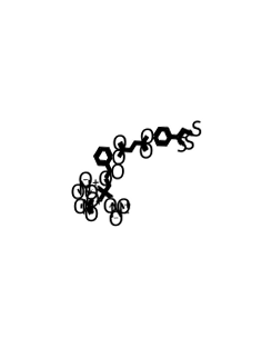 O=C(CCC(=O)Oc1ccccc1C(=O)OCC(CO[N+](=O)[O-])(CO[N+](=O)[O-])CO[N+](=O)[O-])Oc1ccc(-c2cc(=S)ss2)cc1